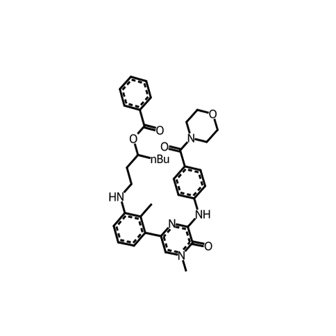 CCCCC(CCNc1cccc(-c2cn(C)c(=O)c(Nc3ccc(C(=O)N4CCOCC4)cc3)n2)c1C)OC(=O)c1ccccc1